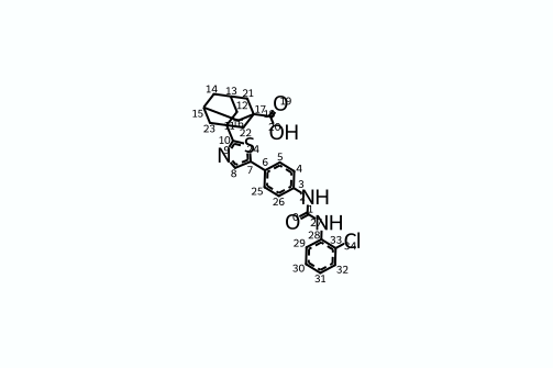 O=C(Nc1ccc(-c2cnc(C34CC5CC(CC(C(=O)O)(C5)C3)C4)s2)cc1)Nc1ccccc1Cl